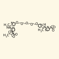 CC(C)C1COC(=O)N1c1ccnc(N[C@@H](C)c2ccc(OCCOCCOCCOCCOc3ccc([C@H](C)Nc4nccc(N5CCOC5=O)n4)nc3)cn2)n1